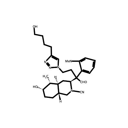 CNc1ccccc1C(C=O)(CCn1cc(CCCCO)nn1)[C@@H]1C[C@H]2[C@@H](CC[C@H](O)[C@@H]2C)CN1C#N